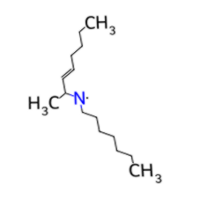 CCCC/C=C/C(C)[N]CCCCCCC